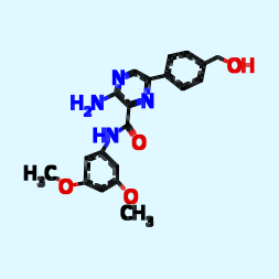 COc1cc(NC(=O)c2nc(-c3ccc(CO)cc3)cnc2N)cc(OC)c1